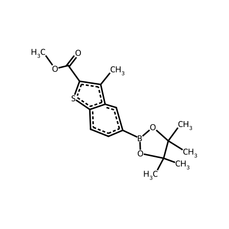 COC(=O)c1sc2ccc(B3OC(C)(C)C(C)(C)O3)cc2c1C